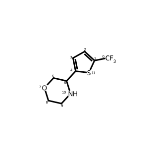 FC(F)(F)c1ccc(C2COCCN2)s1